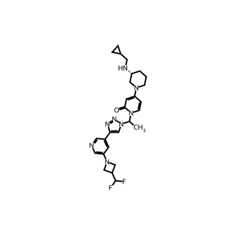 CC(n1cc(-c2cncc(N3CC(C(F)F)C3)c2)nn1)n1ccc(N2CCC[C@@H](NCC3CC3)C2)cc1=O